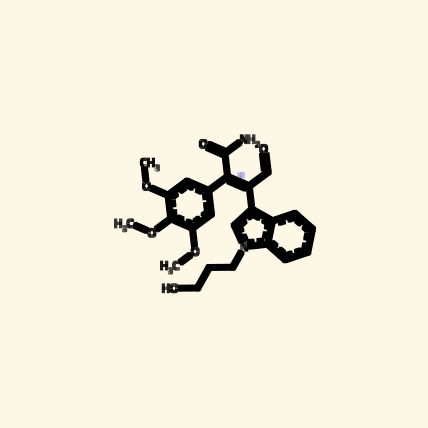 COc1cc(/C(C(N)=O)=C(/C=O)c2cn(CCCO)c3ccccc23)cc(OC)c1OC